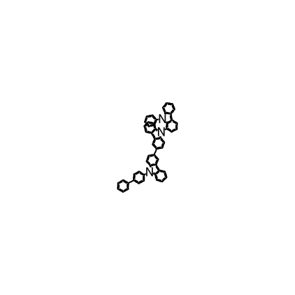 c1ccc(-c2ccc(-n3c4ccccc4c4cc(-c5ccc6c(c5)c5ccccc5n6-c5cccc6c7ccccc7n(-c7ccccc7)c56)ccc43)cc2)cc1